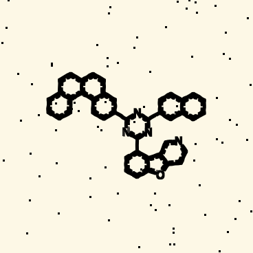 c1ccc2cc(-c3nc(-c4ccc5c(ccc6ccc7ccccc7c65)c4)nc(-c4cccc5oc6ccncc6c45)n3)ccc2c1